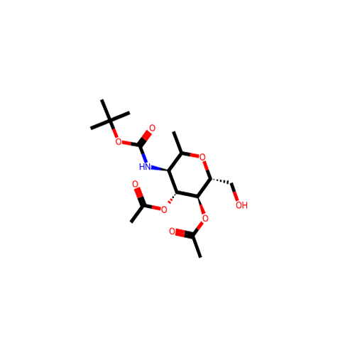 C[C]1O[C@H](CO)[C@@H](OC(C)=O)[C@H](OC(C)=O)[C@H]1NC(=O)OC(C)(C)C